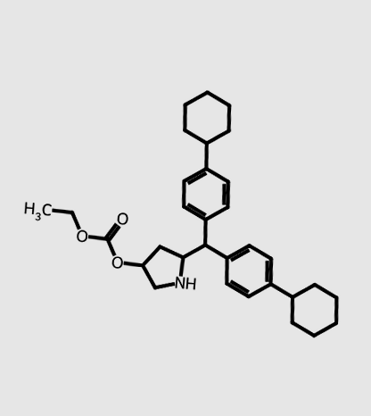 CCOC(=O)OC1CNC(C(c2ccc(C3CCCCC3)cc2)c2ccc(C3CCCCC3)cc2)C1